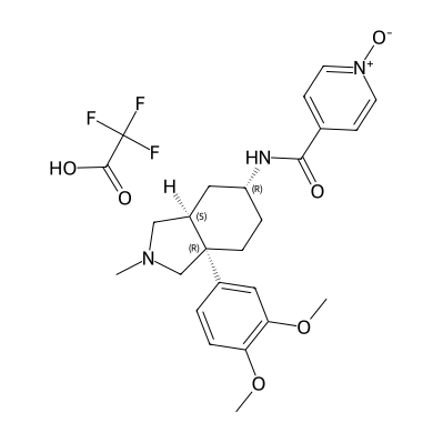 COc1ccc([C@@]23CC[C@@H](NC(=O)c4cc[n+]([O-])cc4)C[C@@H]2CN(C)C3)cc1OC.O=C(O)C(F)(F)F